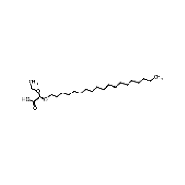 CCCCCCCCCCCCCCCCCCCOC(OCC)C(=O)O